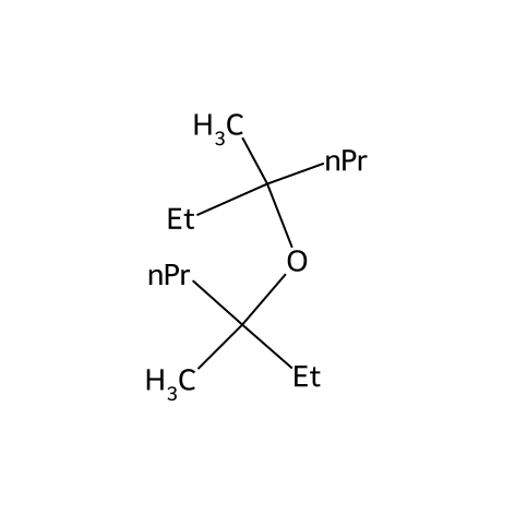 CCCC(C)(CC)OC(C)(CC)CCC